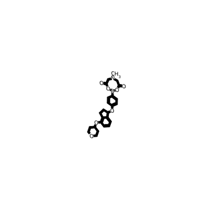 CN1CC(=O)OB(c2ccc(OC3CCc4c(OC5CCOCC5)cccc43)cc2)OC(=O)C1